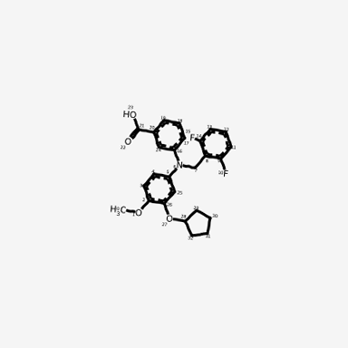 COc1ccc(N(Cc2c(F)cccc2F)c2cccc(C(=O)O)c2)cc1OC1CCCC1